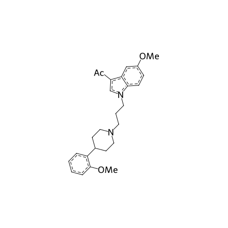 COc1ccc2c(c1)c(C(C)=O)cn2CCCN1CCC(c2ccccc2OC)CC1